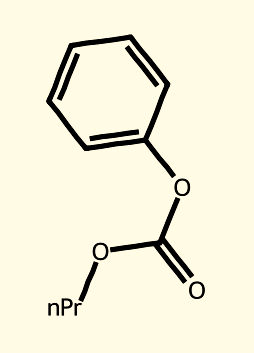 C[CH]COC(=O)Oc1ccccc1